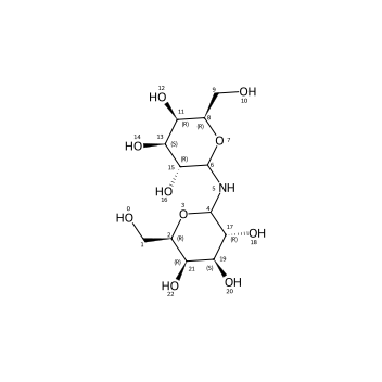 OC[C@H]1OC(NC2O[C@H](CO)[C@H](O)[C@H](O)[C@H]2O)[C@H](O)[C@@H](O)[C@H]1O